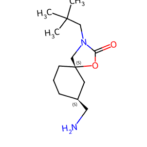 CC(C)(C)CN1C[C@@]2(CCC[C@H](CN)C2)OC1=O